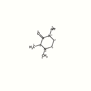 CCCN1CCN(C)C(C)C1=O